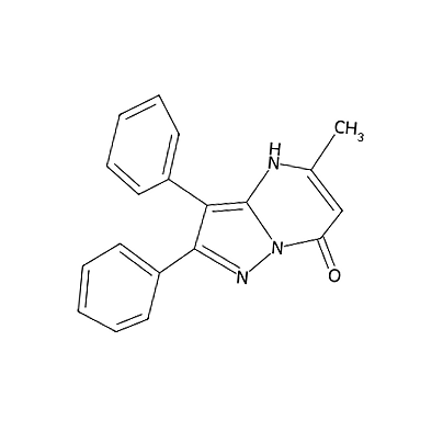 Cc1cc(=O)n2nc(-c3ccccc3)c(-c3ccccc3)c2[nH]1